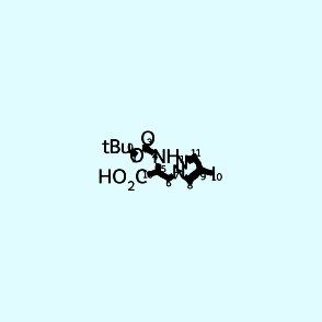 CC(C)(C)OC(=O)NC(Cn1cc(I)cn1)C(=O)O